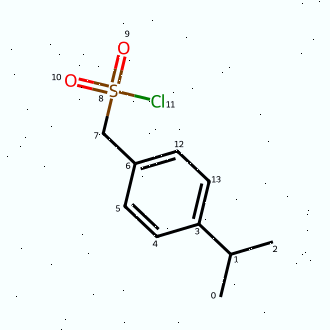 CC(C)c1ccc(CS(=O)(=O)Cl)cc1